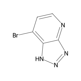 Brc1ccnc2nn[nH]c12